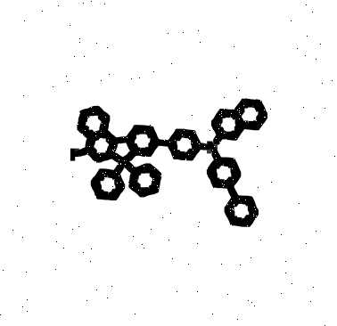 Fc1cc2c(c3ccccc13)-c1ccc(-c3ccc(N(c4ccc(-c5ccccc5)cc4)c4ccc5ccccc5c4)cc3)cc1C2(c1ccccc1)c1ccccc1